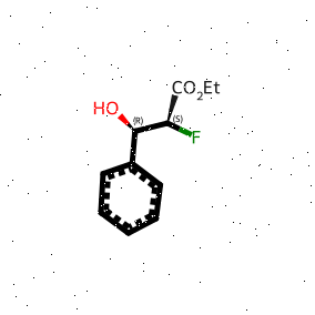 CCOC(=O)[C@@H](F)[C@H](O)c1ccccc1